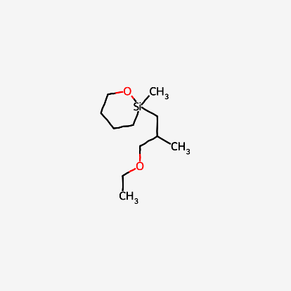 CCOCC(C)C[Si]1(C)CCCCO1